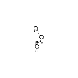 O=C(Nc1ccc(Cl)cc1)c1cccc(C=Cc2ccccn2)c1